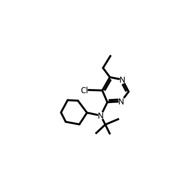 CCc1ncnc(N(C2CCCCC2)C(C)(C)C)c1Cl